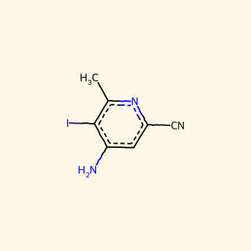 Cc1nc(C#N)cc(N)c1I